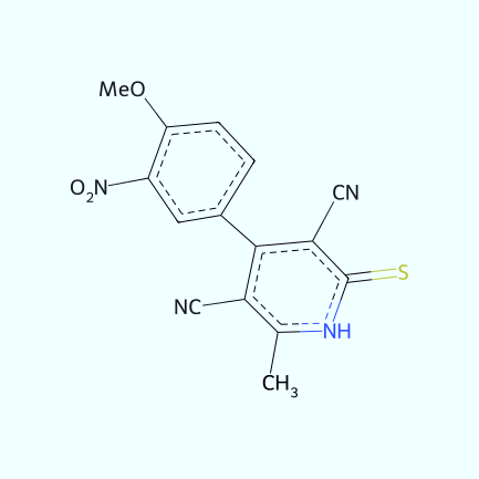 COc1ccc(-c2c(C#N)c(C)[nH]c(=S)c2C#N)cc1[N+](=O)[O-]